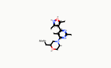 CNCC1CN(c2nc(C)nc(-c3c(C)noc3C)c2C)CCO1